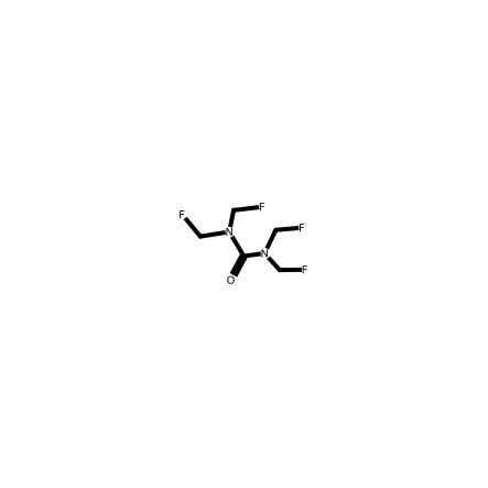 O=C(N(CF)CF)N(CF)CF